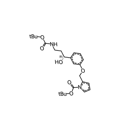 CC(C)(C)OC(=O)NCC[C@@H](O)c1cccc(OCc2cccn2C(=O)OC(C)(C)C)c1